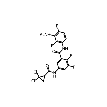 CC(=O)Nc1c(F)ccc(NC(=O)c2cc(NC(=O)C3CC3(Cl)Cl)cc(F)c2F)c1F